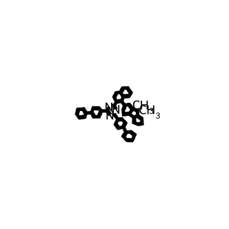 CC1(C)c2ccccc2-c2ccc(-c3c(-c4nc(-c5ccc(-c6ccccc6)cc5)nc(-c5ccc(-c6ccccc6)cc5)n4)ccc4ccccc34)cc21